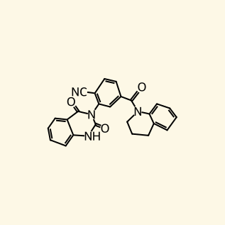 N#Cc1ccc(C(=O)N2CCCc3ccccc32)cc1-n1c(=O)[nH]c2ccccc2c1=O